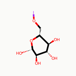 O[C@@H]1[C@@H](O)[C@H](O)O[C@H](COI)[C@H]1O